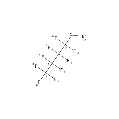 FC(F)(F)C(F)(F)C(F)(F)C(F)(F)[CH]Br